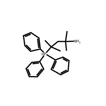 CC(C)(N)CC(C)(C)[PH](c1ccccc1)(c1ccccc1)c1ccccc1